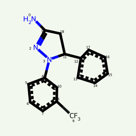 NC1=NN(c2cccc(C(F)(F)F)c2)C(c2ccccc2)C1